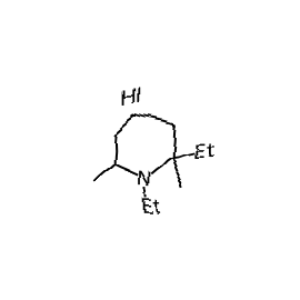 CCN1C(C)CCCC1(C)CC.I